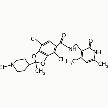 CCN1CCC(C2(C)Oc3c(Cl)cc(C(=O)NCc4c(C)cc(C)[nH]c4=O)c(Cl)c3O2)CC1